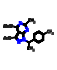 COc1nc(C)nc2c1c(OC(C)=O)nn2C(C)c1ccc(C(F)(F)F)cc1